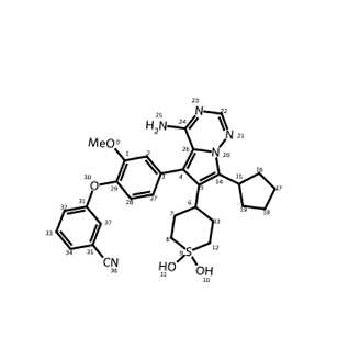 COc1cc(-c2c(C3CCS(O)(O)CC3)c(C3CCCC3)n3ncnc(N)c23)ccc1Oc1cccc(C#N)c1